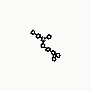 c1ccc(-c2ccc(-c3cc(-c4cccc(-c5ccc(-c6ccc7c(c6)-c6ccccc6C76CCCCC6)cc5)c4)nc(-c4ccccc4)n3)cc2)cc1